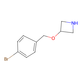 Brc1ccc(COC2CNC2)cc1